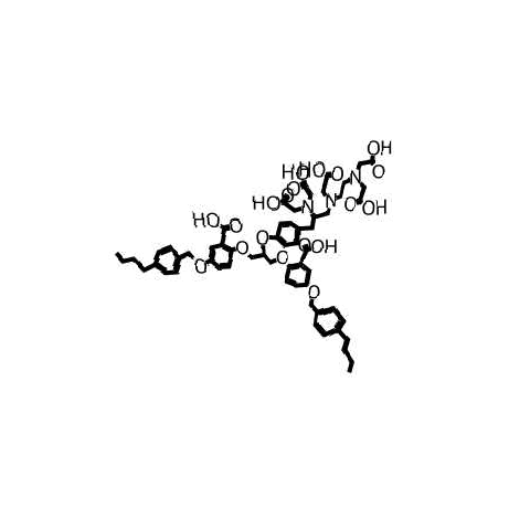 CCCCc1ccc(COc2ccc(OCC(COc3ccc(OCc4ccc(CCCC)cc4)cc3C(=O)O)Oc3ccc(CC(CN(CCN(CC(=O)O)CC(=O)O)CC(=O)O)N(CC(=O)O)CC(=O)O)cc3)c(C(=O)O)c2)cc1